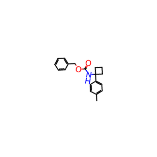 Cc1ccc(C2(NC(=O)OCc3ccccc3)CCC2)cc1